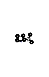 C1=C\c2ccc(-c3nc(-c4ccccc4)nc(-c4ccccc4)n3)cc2-c2ccccc2Oc2ccccc2-c2ccccc2/1